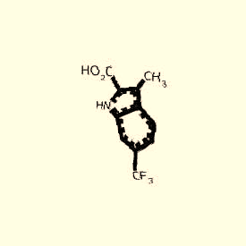 Cc1c(C(=O)O)[nH]c2cc(C(F)(F)F)ccc12